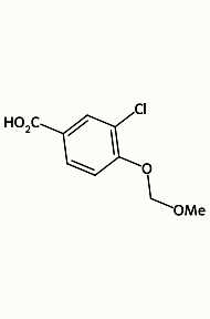 COCOc1ccc(C(=O)O)cc1Cl